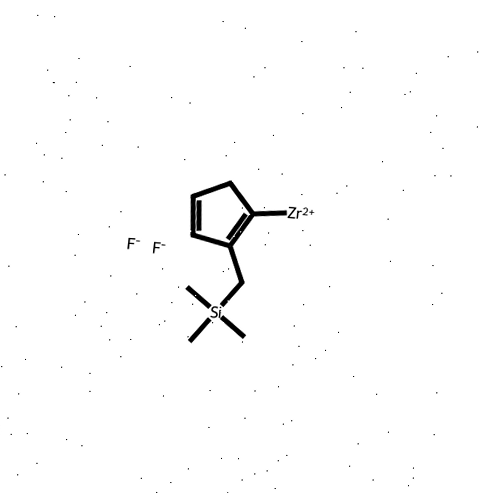 C[Si](C)(C)CC1=[C]([Zr+2])CC=C1.[F-].[F-]